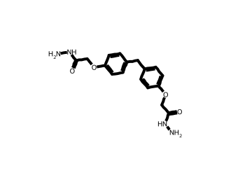 NNC(=O)COc1ccc(Cc2ccc(OCC(=O)NN)cc2)cc1